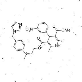 COC(=O)C1=C(C)NC(C)=C(C(=O)OC/C=C(/C)c2ccc(Cn3ccnc3)cc2)C1c1cccc([N+](=O)[O-])c1